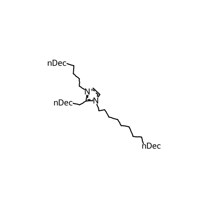 CCCCCCCCCCCCCCCCCCn1cc[n+](CCCCCCCCCCCCCC)c1CCCCCCCCCCC